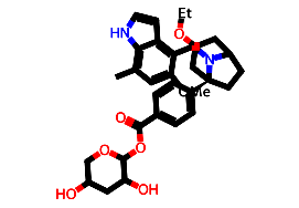 CCOC1CC2CC[C@](c3ccc(C(=O)OC4OCC(O)CC4O)cc3)(C1)N2Cc1c(OC)cc(C)c2[nH]ccc12